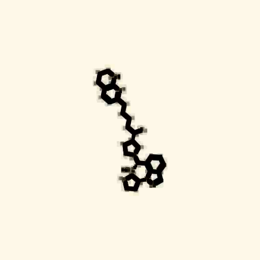 O=C(O)[C@@H](c1cccc2cnn([C@H]3CCOC3)c12)N1CC[C@@H](C(F)CCCCc2ccc3c(n2)NCCC3)C1